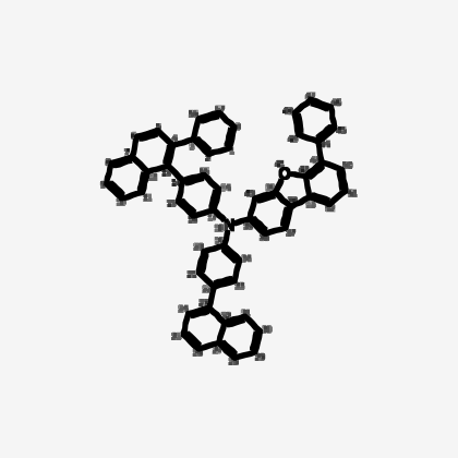 c1ccc(-c2ccc3ccccc3c2-c2ccc(N(c3ccc(-c4cccc5ccccc45)cc3)c3ccc4c(c3)oc3c(-c5ccccc5)cccc34)cc2)cc1